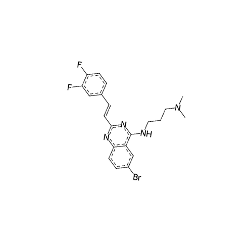 CN(C)CCCNc1nc(C=Cc2ccc(F)c(F)c2)nc2ccc(Br)cc12